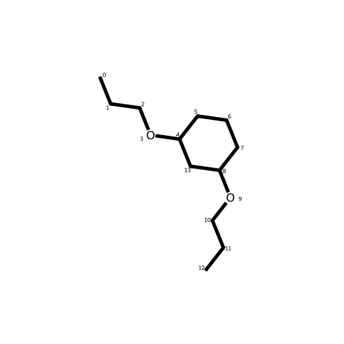 CCCOC1CCCC(OCCC)C1